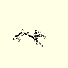 CCCCC(=O)SCCSCCC[Si](OCC)(OCC)OCC